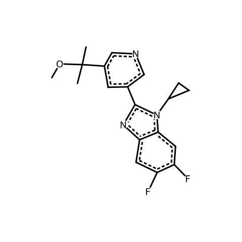 COC(C)(C)c1cncc(-c2nc3cc(F)c(F)cc3n2C2CC2)c1